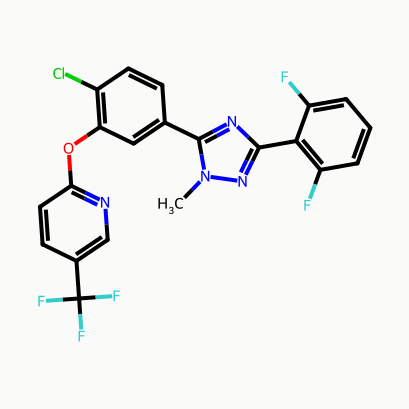 Cn1nc(-c2c(F)cccc2F)nc1-c1ccc(Cl)c(Oc2ccc(C(F)(F)F)cn2)c1